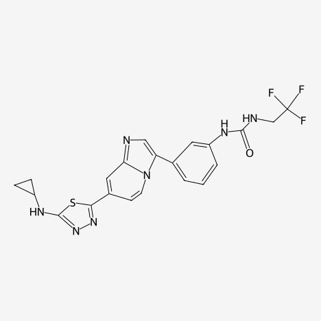 O=C(NCC(F)(F)F)Nc1cccc(-c2cnc3cc(-c4nnc(NC5CC5)s4)ccn23)c1